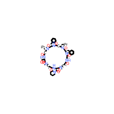 CC(C)C[C@H]1CC(=O)N[C@@H]([C@@H](C)O)C(=O)N(C)C[C@@H](C)C(=O)N[C@H](C(=O)N2CCCCC2)C(=O)N(C)C[C@@H](C)C(=O)N[C@@H](C)C(=O)N(C)[C@@H](Cc2ccccc2)C(=O)N(C)[C@@H](CC(C)C)CC(=O)N[C@@H](Cc2ccccc2)C(=O)N1C